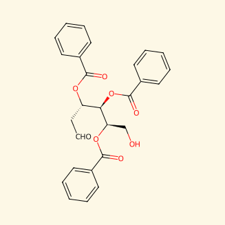 O=CC[C@H](OC(=O)c1ccccc1)[C@@H](OC(=O)c1ccccc1)[C@@H](CO)OC(=O)c1ccccc1